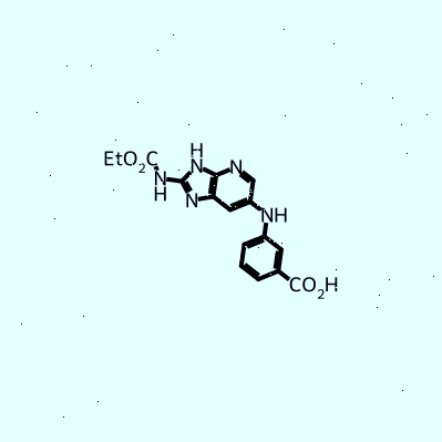 CCOC(=O)Nc1nc2cc(Nc3cccc(C(=O)O)c3)cnc2[nH]1